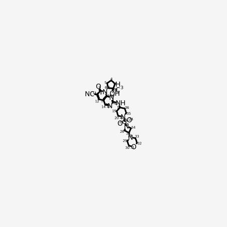 C[C@@]1(O)CCC[C@H]1n1c(=O)c(C#N)cc2cnc(NC3CCN(S(=O)(=O)N4CC(N5CCOCC5)C4)CC3)nc21